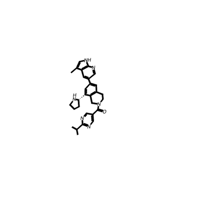 Cc1c[nH]c2ncc(-c3cc4c(c([C@@H]5CCCN5)c3)CN(C(=O)c3cnc(C(C)C)nc3)CC4)cc12